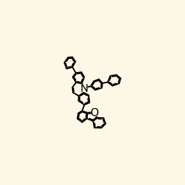 C1=Cc2cc(-c3cccc4c3oc3ccccc34)ccc2N(c2ccc(-c3ccccc3)cc2)c2ccc(-c3ccccc3)cc21